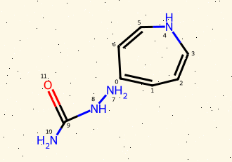 C1=CC=CNC=C1.NNC(N)=O